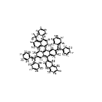 CC1(C)c2ccccc2-c2ccc(-c3c4ccc(N(c5ccccc5)c5ccccc5)cc4c(-c4ccc5ccccc5c4)c4ccc(N(c5ccccc5)c5ccccc5)cc34)c3cccc1c23